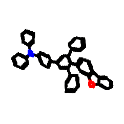 c1ccc(-c2cc(-c3ccc(N(c4ccccc4)c4ccccc4)cc3)cc(-c3ccccc3)c2-c2ccc3c(c2)oc2ccccc23)cc1